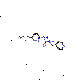 CCOC(=O)c1ccc(NC(=O)NCc2ccncc2)nc1